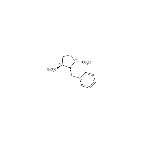 CCOC(=O)[C@H]1CC[C@H](C(=O)OCC)N1Cc1ccccc1